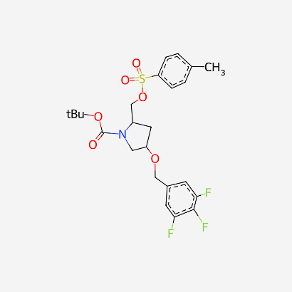 Cc1ccc(S(=O)(=O)OCC2CC(OCc3cc(F)c(F)c(F)c3)CN2C(=O)OC(C)(C)C)cc1